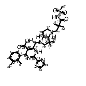 Cc1c(F)cccc1[C@@H]1N=C(c2nccs2)NC(CN2CC(F)(F)[C@H]3[C@@H]2CCN3CC(C)(C)C(=O)NS(C)(=O)=O)=C1C(=O)O